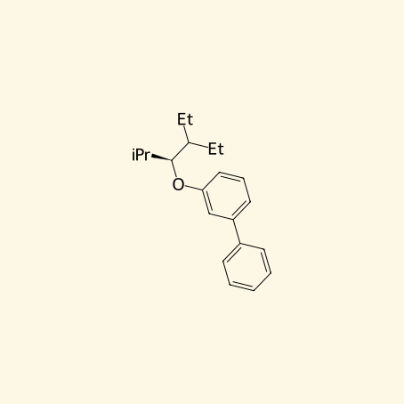 CCC(CC)[C@@H](Oc1cccc(-c2ccccc2)c1)C(C)C